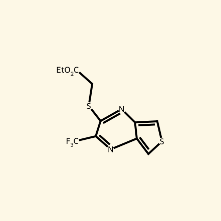 CCOC(=O)CSc1nc2cscc2nc1C(F)(F)F